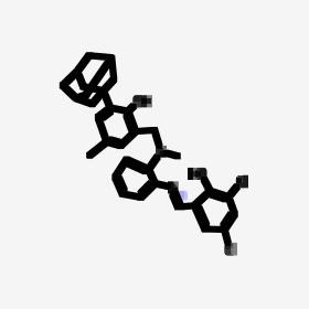 Cc1cc(CN(C)c2ccccc2/N=C/c2cc(Cl)cc(Cl)c2O)c(O)c(C23CC4CC(CC(C4)C2)C3)c1